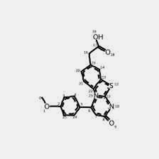 COc1ccc(-c2cc(=O)nc3sc4cc(CC(=O)O)ccc4n23)cc1